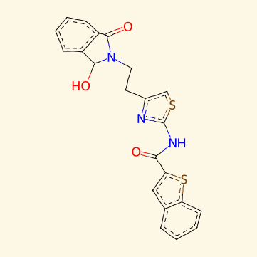 O=C(Nc1nc(CCN2C(=O)c3ccccc3C2O)cs1)c1cc2ccccc2s1